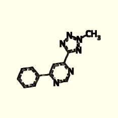 Cn1nnc(-c2cc(-c3ccccc3)ncn2)n1